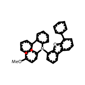 COc1ccc(N(c2ccccc2-c2ccccc2)c2cccc3c2oc2c(-c4ccccc4)cccc23)cc1